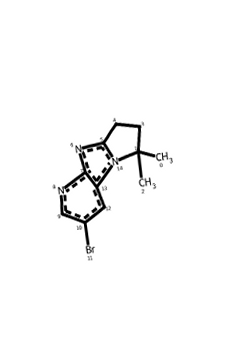 CC1(C)CCc2nc3ncc(Br)cc3n21